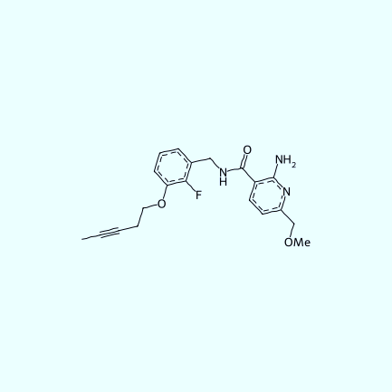 CC#CCCOc1cccc(CNC(=O)c2ccc(COC)nc2N)c1F